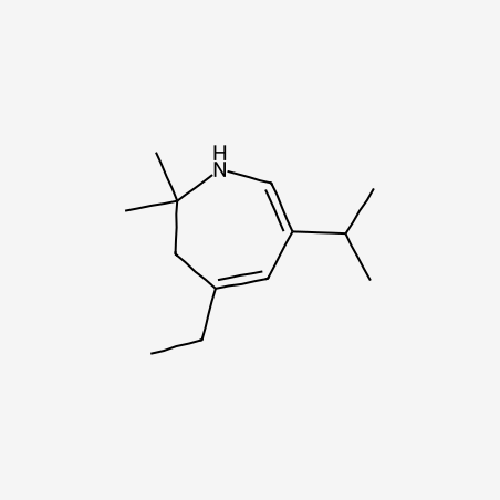 CCC1=CC(C(C)C)=CNC(C)(C)C1